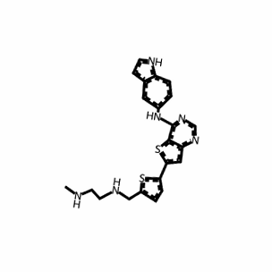 CNCCNCc1ccc(-c2cc3ncnc(Nc4ccc5[nH]ccc5c4)c3s2)s1